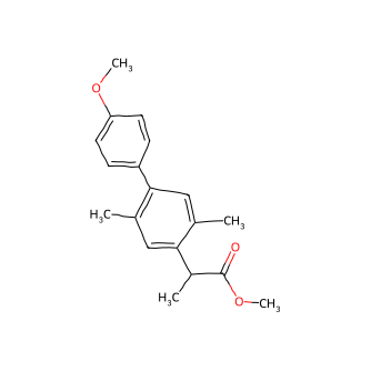 COC(=O)C(C)c1cc(C)c(-c2ccc(OC)cc2)cc1C